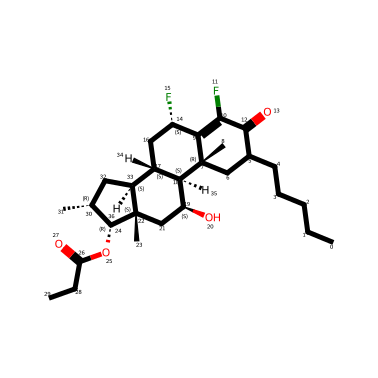 CCCCCC1C[C@@]2(C)C(=C(F)C1=O)[C@@H](F)C[C@@H]1[C@@H]2[C@@H](O)C[C@]2(C)[C@H](OC(=O)CC)[C@H](C)C[C@@H]12